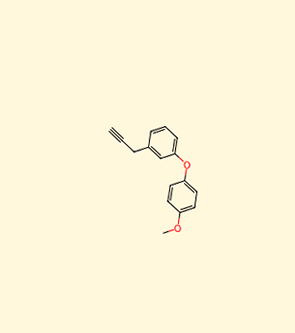 C#CCc1cccc(Oc2ccc(OC)cc2)c1